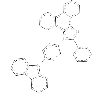 c1ccc(-c2nc3c4ccccc4c4ccccc4c3n2-c2ccc(-n3c4ccccc4c4cnccc43)cc2)cc1